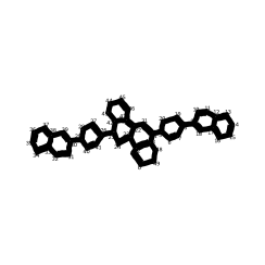 C1=Cc2c(c(C3C=CC(c4ccc5ccccc5c4)=CC3)cc3c2=CC(C2=CCC(c4ccc5ccccc5c4)C=C2)C2CCC=CC=32)CC1